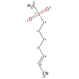 CS(=O)(=O)CCCCC=CC#N